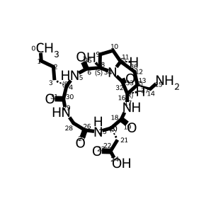 CCCC[C@@H]1NC(=O)[C@@H]2CC[C@H]3C[C@@H](CN)[C@@H](NC(=O)[C@H](CC(=O)O)NC(=O)CNC1=O)C(=O)N32